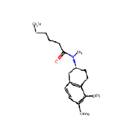 CCCN(C(=O)CCCCC(=O)O)[C@H]1CCc2c(ccc(OC)c2OC)C1